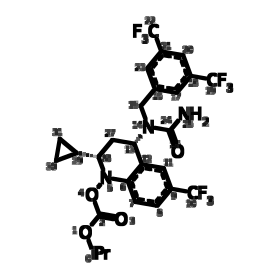 CC(C)OC(=O)ON1c2ccc(C(F)(F)F)cc2[C@@H](N(Cc2cc(C(F)(F)F)cc(C(F)(F)F)c2)C(N)=O)C[C@H]1C1CC1